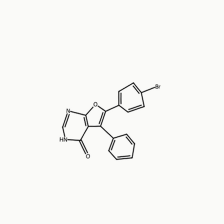 O=c1[nH]cnc2oc(-c3ccc(Br)cc3)c(-c3ccccc3)c12